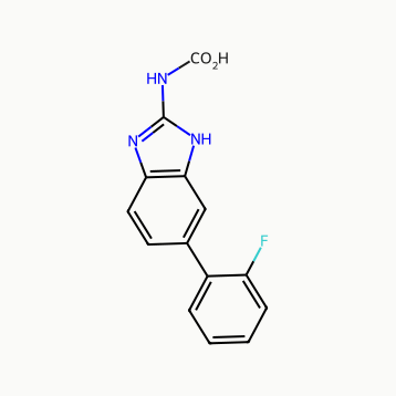 O=C(O)Nc1nc2ccc(-c3ccccc3F)cc2[nH]1